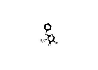 Cn1c(Oc2ccccc2)ncc(Br)c1=O